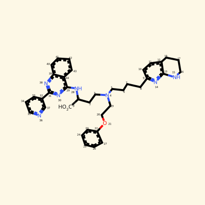 O=C(O)C(CCN(CCCCc1ccc2c(n1)NCCC2)CCOc1ccccc1)Nc1nc(-c2cccnc2)nc2ccccc12